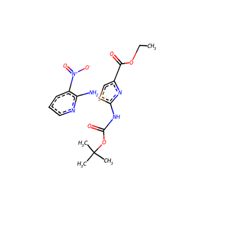 CCOC(=O)c1csc(NC(=O)OC(C)(C)C)n1.Nc1ncccc1[N+](=O)[O-]